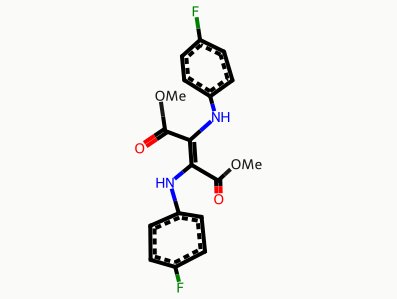 COC(=O)/C(Nc1ccc(F)cc1)=C(\Nc1ccc(F)cc1)C(=O)OC